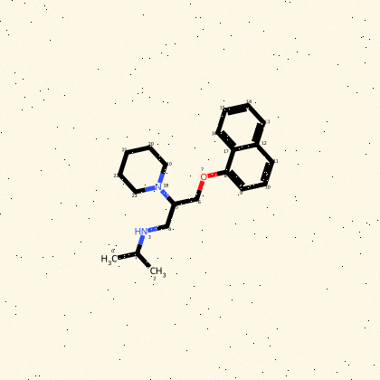 CC(C)NCC(COc1cccc2ccccc12)N1CCCCC1